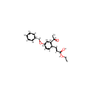 CCOC(=O)/C=C/c1ccc(OCc2ccccc2)cc1C(C)=O